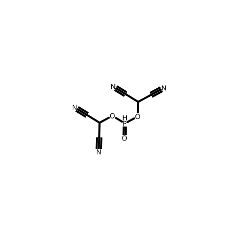 N#CC(C#N)O[PH](=O)OC(C#N)C#N